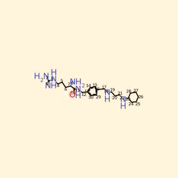 N=C(N)NCCC[C@H](N)C(=O)NCc1ccc(CNCCCNC2CCCCC2)cc1